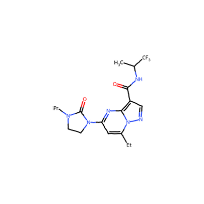 CCc1cc(N2CCN(C(C)C)C2=O)nc2c(C(=O)NC(C)C(F)(F)F)cnn12